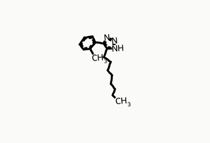 CCCCCCCCc1[nH]nnc1-c1ccccc1C